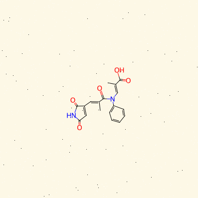 CC(=CN(C(=O)C(C)=CC1=CC(=O)NC1=O)c1ccccc1)C(=O)O